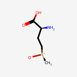 C[S@@+]([O-])CC[C@H](N)C(=O)O